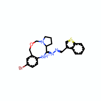 Brc1ccc2c(c1)COCN1CCCC1/C(=N\N=Cc1csc3ccccc13)N2